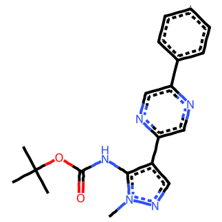 Cn1ncc(-c2cnc(-c3cc[c]cc3)cn2)c1NC(=O)OC(C)(C)C